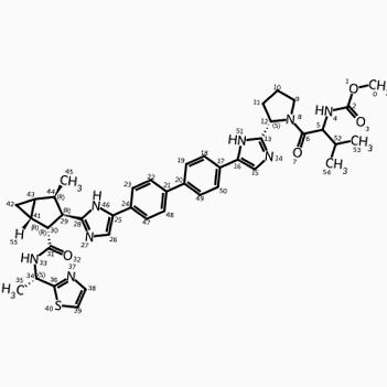 COC(=O)NC(C(=O)N1CCC[C@H]1c1ncc(-c2ccc(-c3ccc(-c4cnc([C@H]5[C@H](C(=O)N[C@@H](C)c6nccs6)[C@@H]6CC6[C@H]5C)[nH]4)cc3)cc2)[nH]1)C(C)C